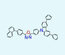 c1ccc(-c2ccc3c(c2)c2cc(-c4ccccc4)ccc2n3-c2ccc(-c3nnc(-c4ccc(-c5cccc6ccccc56)cc4)o3)cc2)cc1